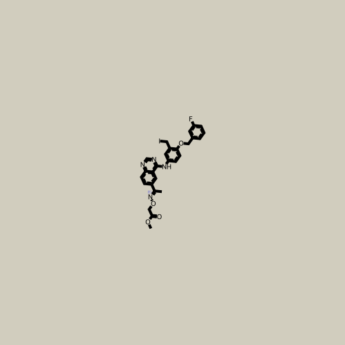 COC(=O)CO/N=C(\C)c1ccc2ncnc(Nc3ccc(OCc4cccc(F)c4)c(CI)c3)c2c1